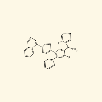 CN(c1ccccc1F)c1cc(-c2ccc(-c3cccc4ccccc34)cc2)c(-c2ccccc2)cc1F